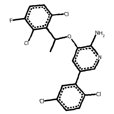 CC(Oc1cc(-c2cc(Cl)ccc2Cl)cnc1N)c1c(Cl)ccc(F)c1Cl